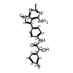 Cc1nc(N)c2c(-c3ccc(NC(=O)[C@@H](O)c4cccc(F)c4)cc3)cn(C)c2n1